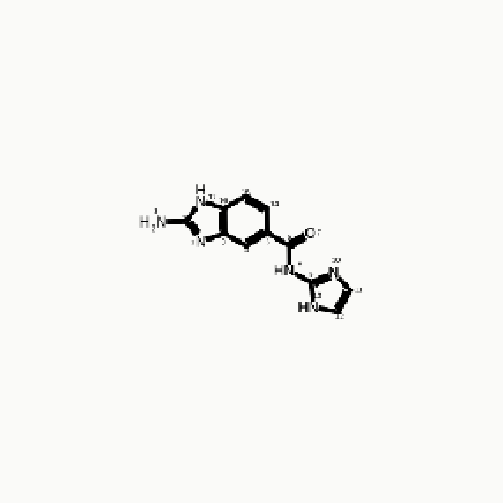 Nc1nc2cc(C(=O)Nc3ncc[nH]3)ccc2[nH]1